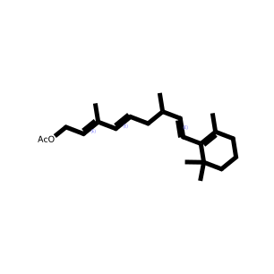 CC(=O)OC/C=C(C)/C=C/CC(C)/C=C/C1=C(C)CCCC1(C)C